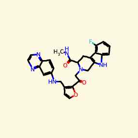 CNC(=O)C1Cc2c([nH]c3cccc(F)c23)CN1CC(=O)c1occc1CNc1ccc2nccnc2c1